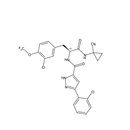 N#CC1(NC(=O)[C@H](Cc2ccc(OC(F)(F)F)c(Cl)c2)NC(=O)c2cc(-c3ccccc3Cl)n[nH]2)CC1